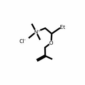 C=C(C)COC(CC)C[N+](C)(C)C.[Cl-]